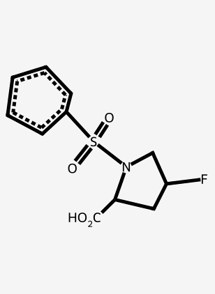 O=C(O)C1CC(F)CN1S(=O)(=O)c1ccccc1